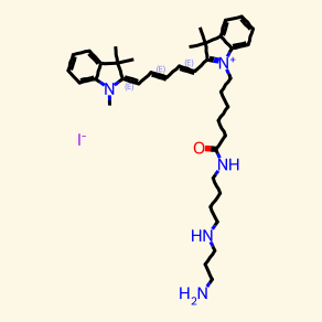 CN1/C(=C/C=C/C=C/C2=[N+](CCCCCC(=O)NCCCCNCCCN)c3ccccc3C2(C)C)C(C)(C)c2ccccc21.[I-]